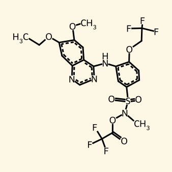 CCOc1cc2ncnc(Nc3cc(S(=O)(=O)N(C)OC(=O)C(F)(F)F)ccc3OCC(F)(F)F)c2cc1OC